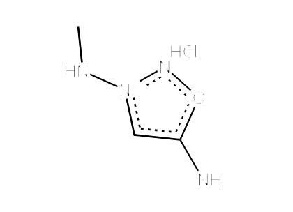 CN[n+]1cc([NH-])on1.Cl